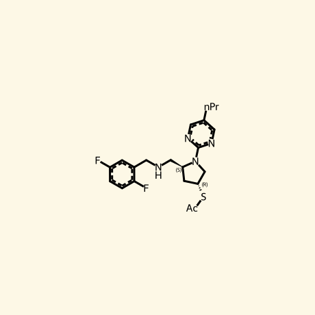 CCCc1cnc(N2C[C@H](SC(C)=O)C[C@H]2CNCc2cc(F)ccc2F)nc1